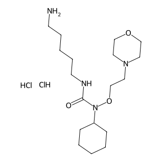 Cl.Cl.NCCCCCNC(=O)N(OCCN1CCOCC1)C1CCCCC1